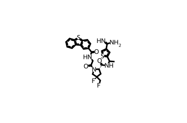 CC(NC(=O)[C@@H]1C[C@](F)(CF)CN1C(=O)CNC(=O)c1ccc2sc3ccccc3c2c1)c1cc(C(=N)N)cs1